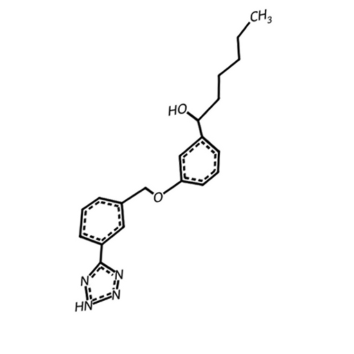 CCCCCC(O)c1cccc(OCc2cccc(-c3nn[nH]n3)c2)c1